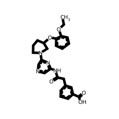 CCOc1ccccc1OC1CCCN(c2cncc(NC(=O)Cc3cccc(C(=O)O)c3)n2)C1